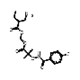 CCC(CN)C(=O)OCOC(=O)C(C)(C)ONC(=O)c1ccc(Cl)cc1